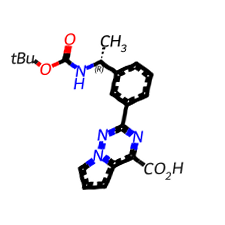 C[C@@H](NC(=O)OC(C)(C)C)c1cccc(-c2nc(C(=O)O)c3cccn3n2)c1